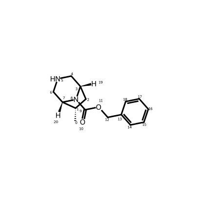 C[C@H]1C[C@H]2CNC[C@@H]1N2C(=O)OCc1ccccc1